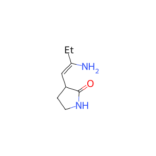 CCC(N)=CC1CCNC1=O